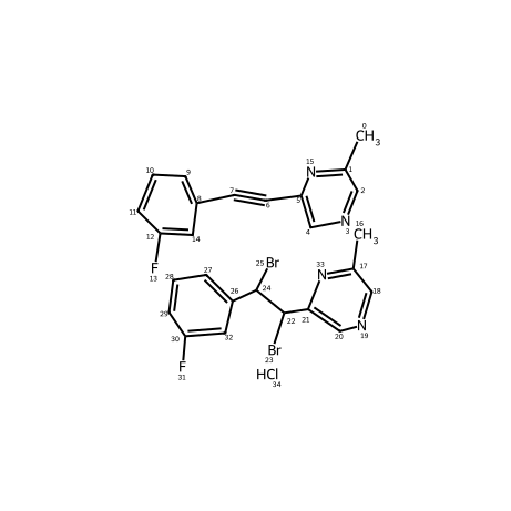 Cc1cncc(C#Cc2cccc(F)c2)n1.Cc1cncc(C(Br)C(Br)c2cccc(F)c2)n1.Cl